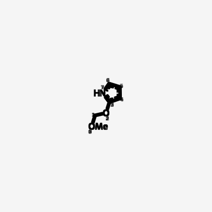 COCOc1ccc[nH]1